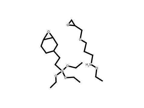 CCO[SiH2]CCCOCC1CO1.CCO[Si](CCC1CCC2OC2C1)(OCC)OCC